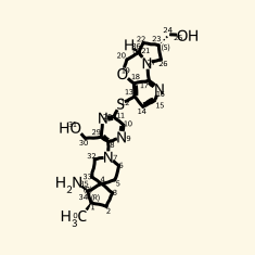 C[C@@H]1CCC2(CCN(c3ncc(Sc4ccnc5c4OC[C@@H]4C[C@H](CO)CN54)nc3CO)CC2)[C@@H]1N